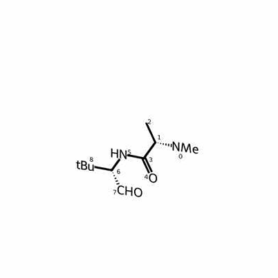 CN[C@@H](C)C(=O)N[C@H](C=O)C(C)(C)C